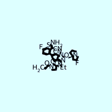 C=CC(=O)N1CCC(N(CC)c2nc(OC[C@@]34CCCN3C[C@H](F)C4)nc3c(C#N)c(-c4ccc(F)c5sc(N)c(C#N)c45)ccc23)C1C